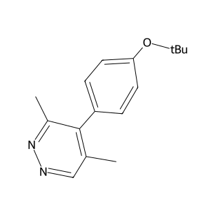 Cc1cnnc(C)c1-c1ccc(OC(C)(C)C)cc1